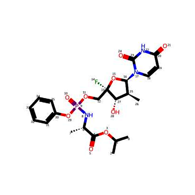 CC(C)OC(=O)[C@H](C)NP(=O)(OC[C@@]1(F)O[C@@H](n2ccc(=O)[nH]c2=O)[C@@H](C)[C@@H]1O)Oc1ccccc1